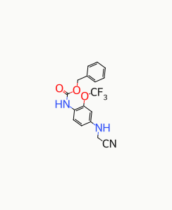 N#CCNc1ccc(NC(=O)OCc2ccccc2)c(OC(F)(F)F)c1